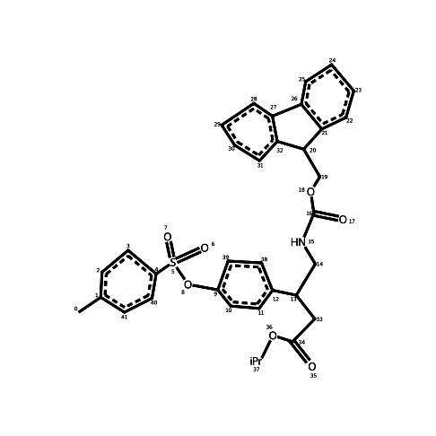 Cc1ccc(S(=O)(=O)Oc2ccc(C(CNC(=O)OCC3c4ccccc4-c4ccccc43)CC(=O)OC(C)C)cc2)cc1